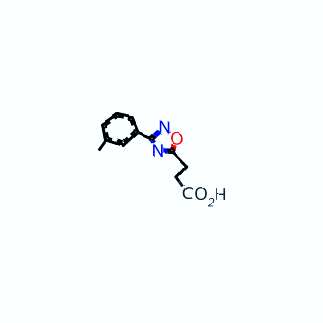 Cc1cccc(-c2noc(CCC(=O)O)n2)c1